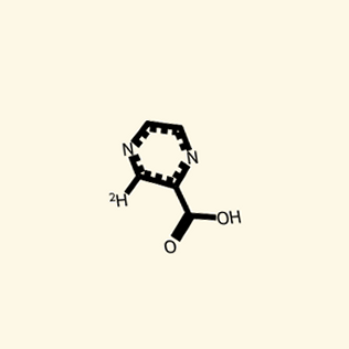 [2H]c1nccnc1C(=O)O